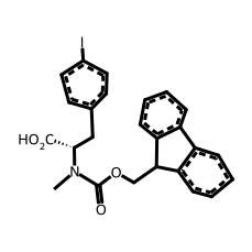 CN(C(=O)OCC1c2ccccc2-c2ccccc21)[C@@H](Cc1ccc(I)cc1)C(=O)O